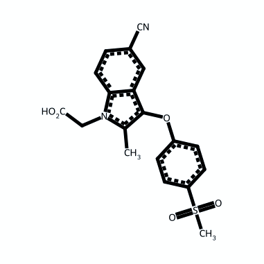 Cc1c(Oc2ccc(S(C)(=O)=O)cc2)c2cc(C#N)ccc2n1CC(=O)O